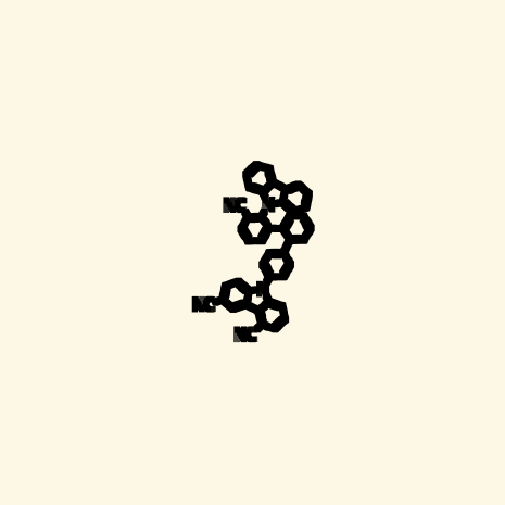 N#Cc1ccc2c(c1)c1c(C#N)cccc1n2-c1ccc(-c2ccccc2-c2cccc(C#N)c2-n2c3ccccc3c3ccccc32)cc1